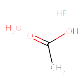 CC(=O)O.F.O